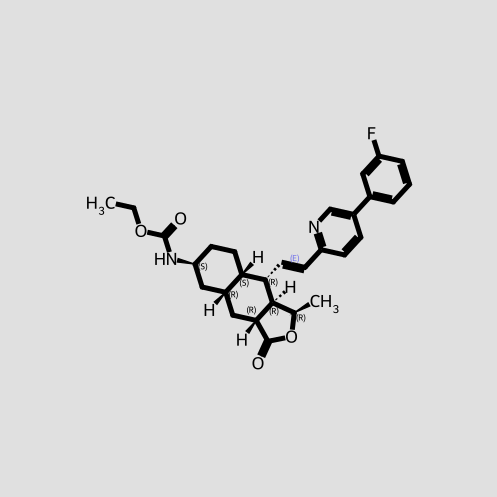 CCOC(=O)N[C@H]1CC[C@H]2[C@@H](C1)C[C@H]1C(=O)O[C@H](C)[C@@H]1[C@H]2/C=C/c1ccc(-c2cccc(F)c2)cn1